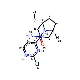 CC[C@@]12CC[C@@H](CN(c3ccnc(Cl)n3)C1)N2C(N)=O